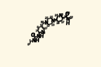 CCNC(=O)Nc1ccc(CN2CCN(c3ccc(C(=O)NC)nc3)CC2)cn1